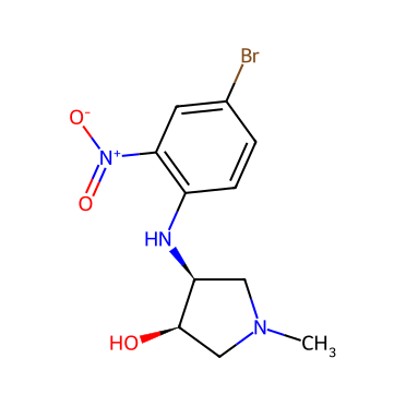 CN1C[C@@H](O)[C@@H](Nc2ccc(Br)cc2[N+](=O)[O-])C1